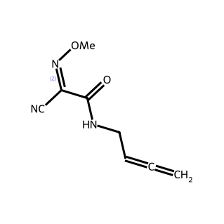 C=C=CCNC(=O)/C(C#N)=N\OC